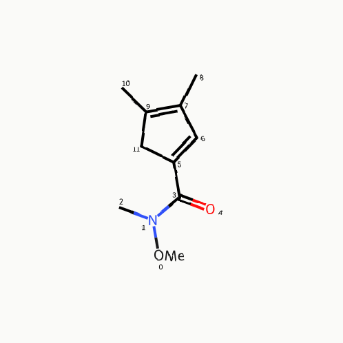 CON(C)C(=O)C1=CC(C)=C(C)C1